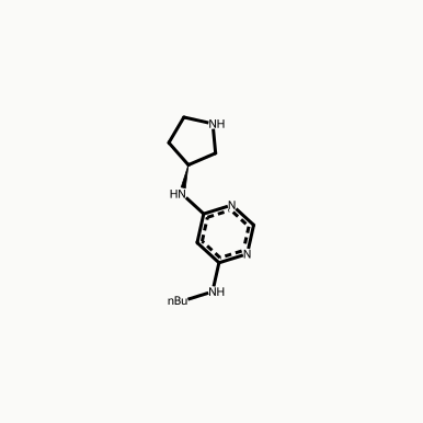 CCCCNc1cc(N[C@H]2CCNC2)ncn1